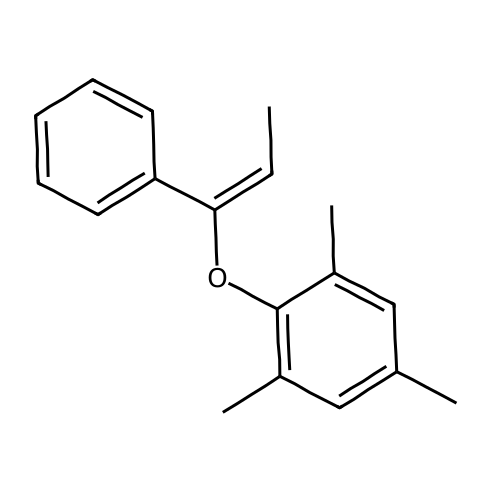 CC=C(Oc1c(C)cc(C)cc1C)c1ccccc1